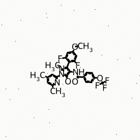 COc1cc(F)c(-c2c(NC(=O)c3ccc(OC(F)(F)F)cc3)c(=O)n(-c3cc(C)cc(C)n3)n2C)c(F)c1